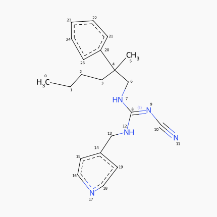 CCCCC(C)(CN/C(=N/C#N)NCc1ccncc1)c1ccccc1